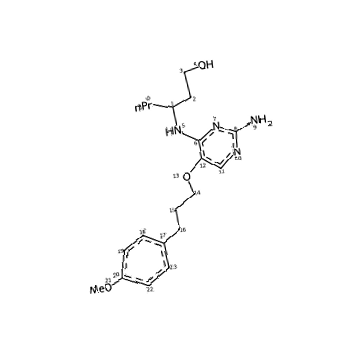 CCCC(CCO)Nc1nc(N)ncc1OCCCc1ccc(OC)cc1